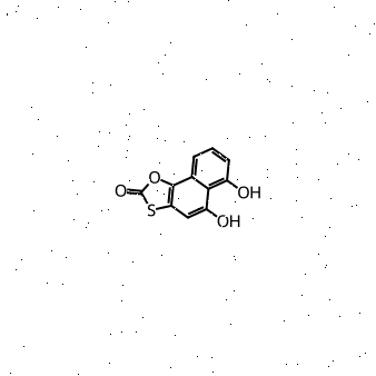 O=c1oc2c(cc(O)c3c(O)cccc32)s1